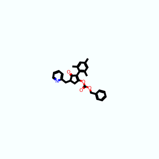 Cc1cc(C)c(C2=C(OC(=O)OCc3ccccc3)CC(Cc3ccccn3)C2=O)c(C)c1